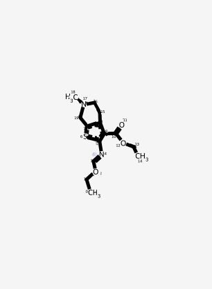 CCO/C=N/c1sc2c(c1C(=O)OCC)CCN(C)C2